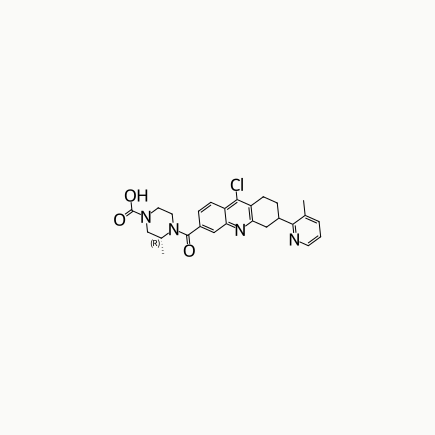 Cc1cccnc1C1CCc2c(nc3cc(C(=O)N4CCN(C(=O)O)C[C@H]4C)ccc3c2Cl)C1